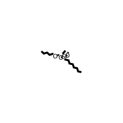 CCCCCCCC[Si](CC)(OC)OCOCCCCC